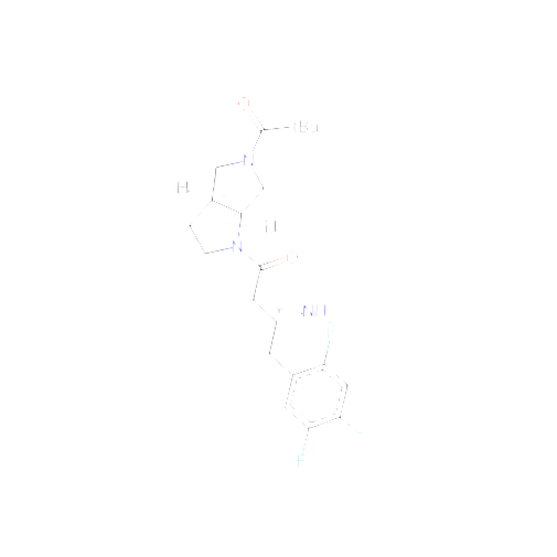 CC(C)(C)C(=O)N1C[C@@H]2CCN(C(=O)C[C@H](N)Cc3cc(F)c(F)cc3F)[C@@H]2C1